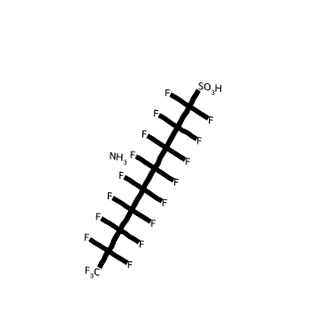 N.O=S(=O)(O)C(F)(F)C(F)(F)C(F)(F)C(F)(F)C(F)(F)C(F)(F)C(F)(F)C(F)(F)C(F)(F)F